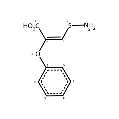 NSC=C(Oc1ccccc1)C(=O)O